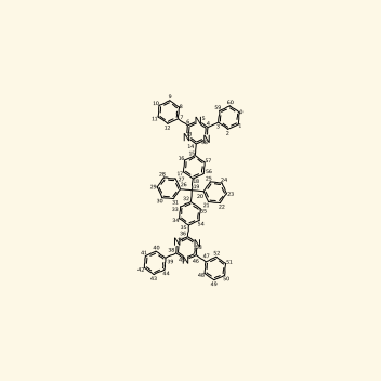 c1ccc(-c2nc(-c3ccccc3)nc(-c3ccc(C(c4ccccc4)(c4ccccc4)c4ccc(-c5nc(-c6ccccc6)nc(-c6ccccc6)n5)cc4)cc3)n2)cc1